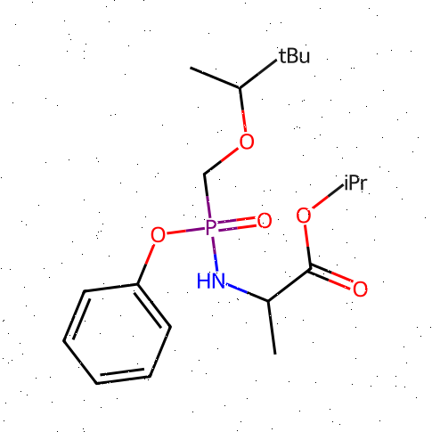 CC(C)OC(=O)C(C)NP(=O)(COC(C)C(C)(C)C)Oc1ccccc1